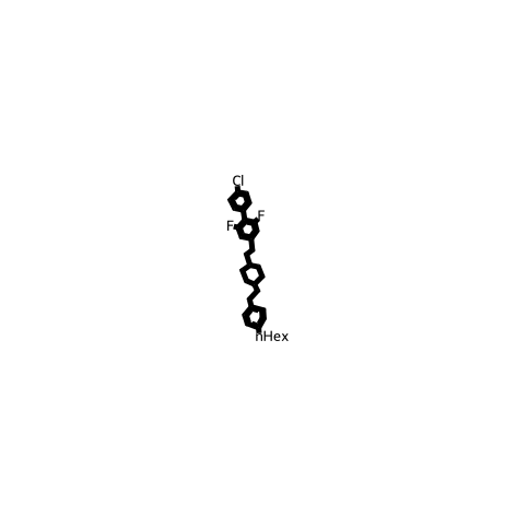 CCCCCCc1ccc(CCC2CCC(CCc3cc(F)c(-c4ccc(Cl)cc4)c(F)c3)CC2)cc1